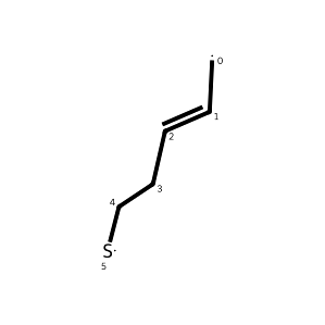 [CH2]C=CCC[S]